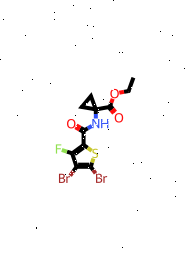 CCOC(=O)C1(NC(=O)c2sc(Br)c(Br)c2F)CC1